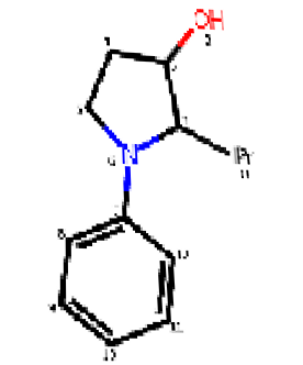 CC(C)C1C(O)CCN1c1ccccc1